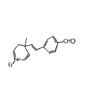 CC[N+]1=CCC(C)(C=Cc2ccc(C=O)cc2)C=C1